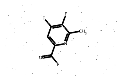 Cc1nc(C(=O)F)cc(F)c1F